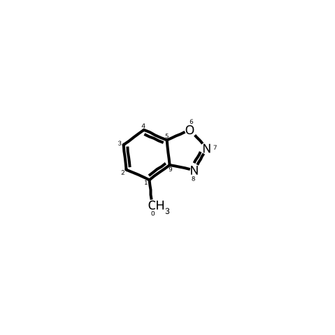 Cc1cccc2onnc12